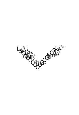 [Cu+2].[Cu+2].[La+3].[La+3].[Mn+2].[Mn+2].[O-2].[O-2].[O-2].[O-2].[O-2].[O-2].[O-2].[O-2].[O-2].[Sr+2].[Sr+2]